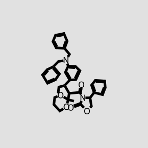 CCC(c1cccc(N(Cc2ccccc2)Cc2ccccc2)c1)C(C(=O)N1C(=O)OCC1c1ccccc1)C1(C)OCCCO1